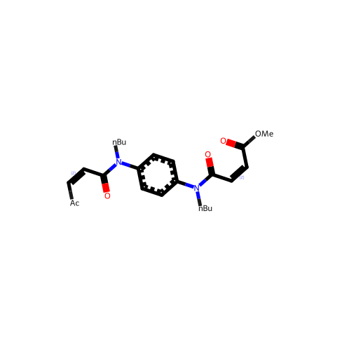 CCCCN(C(=O)/C=C\C(C)=O)c1ccc(N(CCCC)C(=O)/C=C\C(=O)OC)cc1